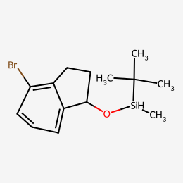 C[SiH](OC1CCc2c(Br)cccc21)C(C)(C)C